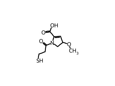 COC1C=C(C(=O)O)N(C(=O)CCS)C1